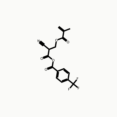 C=C(C)C(=O)OCC(C#N)C(=O)OC(=O)c1ccc(C(F)(F)F)cc1